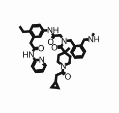 CCc1ccc(NC(=O)CN(Cc2ccccc2CNC)C(=O)C2(C)CCN(C(=O)CC3CC3)CC2)cc1CC(=O)Nc1ccccn1